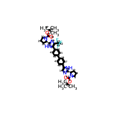 CC(C)(C)OC(=O)N1CCC[C@H]1c1ncc(-c2ccc(-c3ccc(-c4[nH]c([C@@H]5CCCN5C(=O)OC(C)(C)C)nc4C(F)(F)F)cc3)cc2)[nH]1